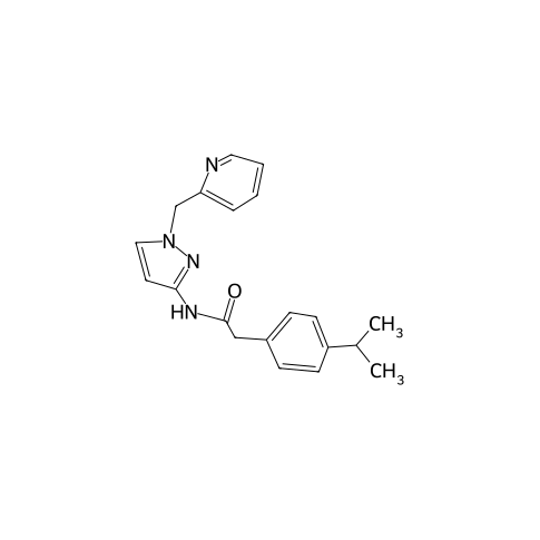 CC(C)c1ccc(CC(=O)Nc2ccn(Cc3ccccn3)n2)cc1